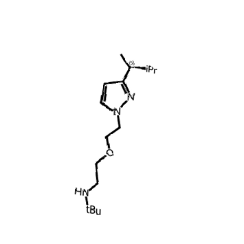 CC(C)[C@H](C)c1ccn(CCOCCNC(C)(C)C)n1